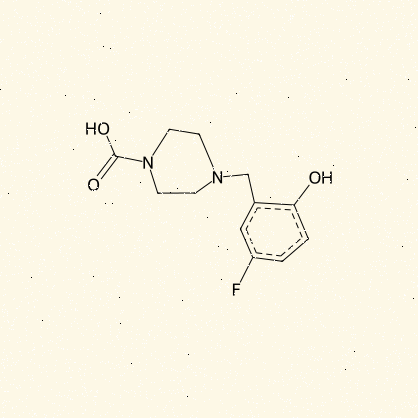 O=C(O)N1CCN(Cc2cc(F)ccc2O)CC1